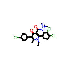 CCn1c(C)c(-c2ccc(Cl)cc2)c(=O)c(C(=O)NN(C)C)c1-c1ccc(Cl)c(Cl)c1